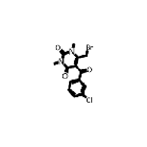 Cn1c(CBr)c(C(=O)c2cccc(Cl)c2)c(=O)n(C)c1=O